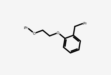 CC(C)Cc1ccccc1OCCOC(C)C